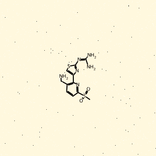 CS(=O)(=O)c1ccc(CN)c(-c2csc(N=C(N)N)n2)n1